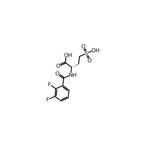 O=C(N[C@@H](CCS(=O)(=O)O)C(=O)O)c1cccc(F)c1F